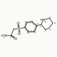 NC(=O)CS(=O)(=O)c1ccc(C2CCCCN2)cc1